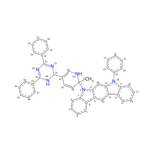 CC1(n2c3ccccc3c3cc4c5ccccc5n(-c5ccccc5)c4cc32)C=CC(C2N=C(c3ccccc3)N=C(c3ccccc3)N2)=CN1